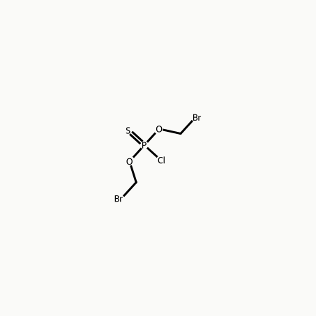 S=P(Cl)(OCBr)OCBr